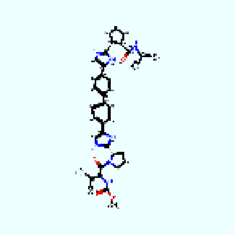 COC(=O)N[C@H](C(=O)N1CCC[C@H]1c1ncc(-c2ccc(-c3ccc(-c4cnc([C@H]5CCC[C@H]5C(=O)NC(C)C)[nH]4)cc3)cc2)[nH]1)C(C)C